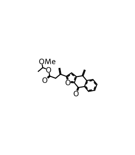 C=C(CC(=O)OC(C)OC)c1cc2c(o1)C(=O)c1ccccc1C2=C